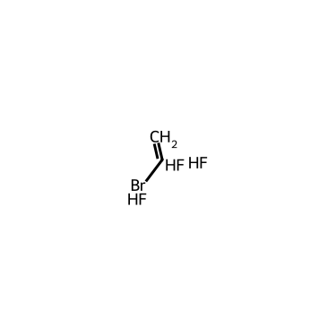 C=CBr.F.F.F